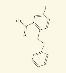 O=C(O)c1cc(F)ccc1CSc1ccccc1